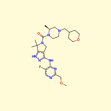 COCc1ncc(F)c(Nc2n[nH]c3c2CN(C(=O)N2CCN(CC4CCOCC4)C[C@@H]2C)C3(C)C)n1